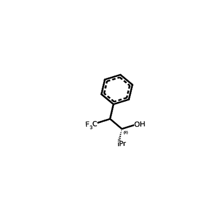 CC(C)[C@@H](O)C(c1ccccc1)C(F)(F)F